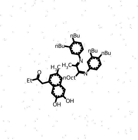 CCC(=O)Cc1cc(C)cc2cc(O)c(O)cc12.CCCCCCCCC(=Nc1ccc(CCCC)c(CCCC)c1)C(C)=Nc1ccc(CCCC)c(CCCC)c1